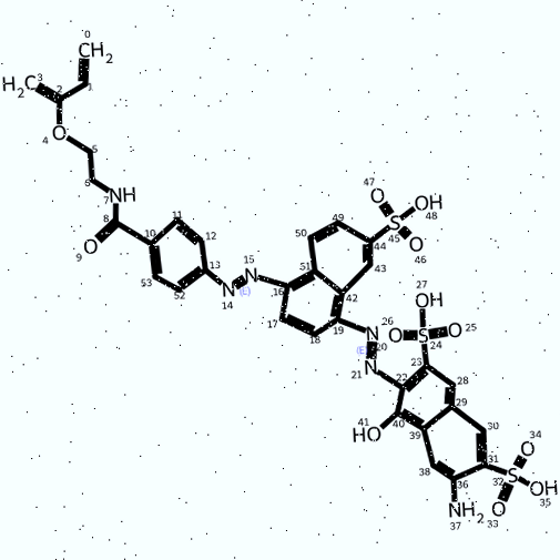 C=CC(=C)OCCNC(=O)c1ccc(/N=N/c2ccc(/N=N/c3c(S(=O)(=O)O)cc4cc(S(=O)(=O)O)c(N)cc4c3O)c3cc(S(=O)(=O)O)ccc23)cc1